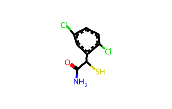 NC(=O)C(S)c1cc(Cl)ccc1Cl